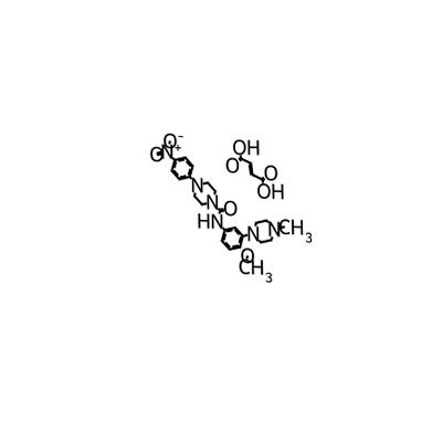 COc1ccc(NC(=O)N2CCN(c3ccc([N+](=O)[O-])cc3)CC2)cc1N1CCN(C)CC1.O=C(O)/C=C/C(=O)O